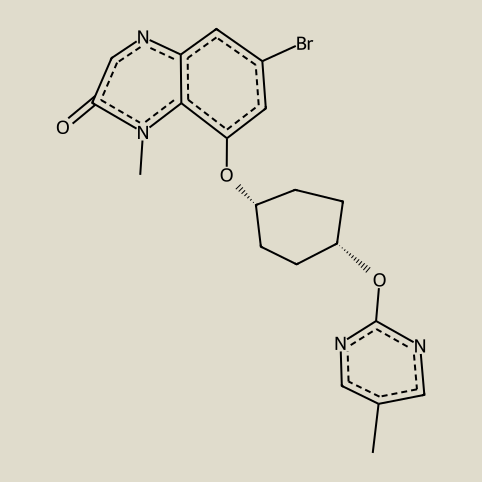 Cc1cnc(O[C@H]2CC[C@@H](Oc3cc(Br)cc4ncc(=O)n(C)c34)CC2)nc1